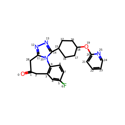 O=C1Cc2cc(F)ccc2-n2c(nnc2C2CCC(Oc3ccccn3)CC2)C1